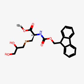 CC(C)(C)OC(=O)[C@H](CSCC(O)CO)NC(=O)OCC1c2ccccc2-c2ccccc21